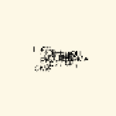 CC[C@H]1[C@@H](OCOC)C2C3CC[C@H]([C@H](C)CC(CO)C(=O)OC)[C@@]3(C)[C@@H](C)CC2[C@@]2(C)CC[C@@H](C)C[C@@H]12